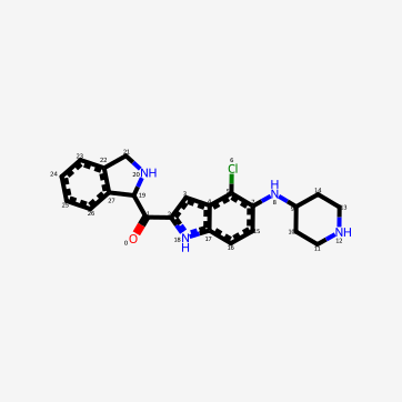 O=C(c1cc2c(Cl)c(NC3CCNCC3)ccc2[nH]1)C1NCc2ccccc21